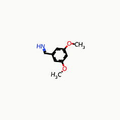 COc1cc(C=N)cc(OC)c1